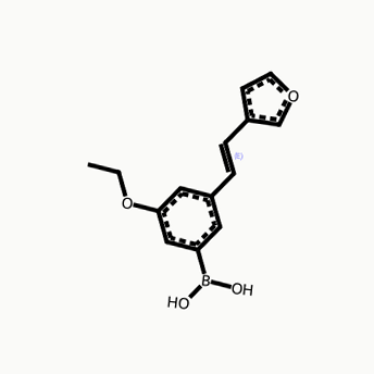 CCOc1cc(/C=C/c2ccoc2)cc(B(O)O)c1